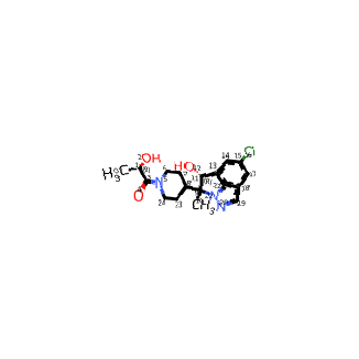 C[C@@H](O)C(=O)N1CCC(C2(C)[C@H](O)c3cc(Cl)cc4cnn2c34)CC1